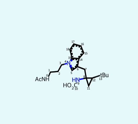 CC(=O)NCCCn1cc(CC2(NC(=O)O)CC2C(C)(C)C)c2ccccc21